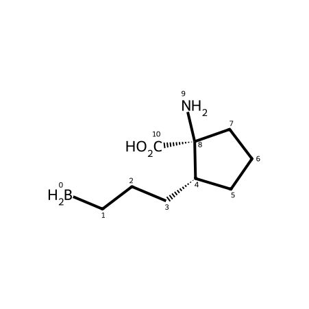 BCCC[C@H]1CCC[C@@]1(N)C(=O)O